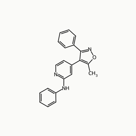 Cc1onc(-c2ccccc2)c1-c1ccnc(Nc2ccccc2)c1